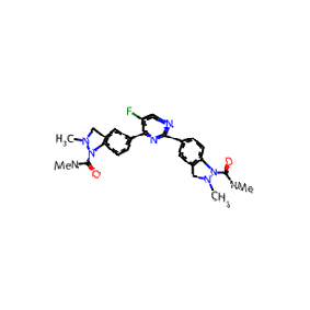 CNC(=O)N1c2ccc(-c3ncc(F)c(-c4ccc5c(c4)CN(C)N5C(=O)NC)n3)cc2CN1C